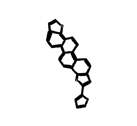 c1csc(-c2cc3ccc4c5ccc6c(ccc7ccoc76)c5ccc4c3o2)c1